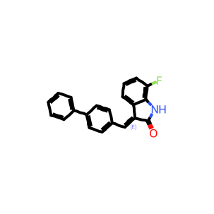 O=C1Nc2c(F)cccc2/C1=C\c1ccc(-c2ccccc2)cc1